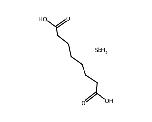 O=C(O)CCCCCCC(=O)O.[SbH3]